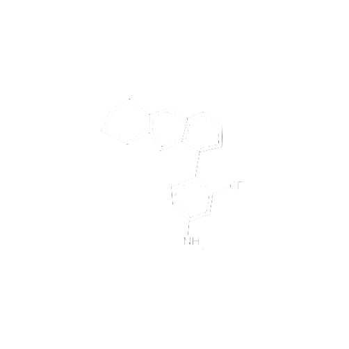 Nc1ccc(-c2cccc3cc4ccccc4cc23)c(C(F)(F)F)c1